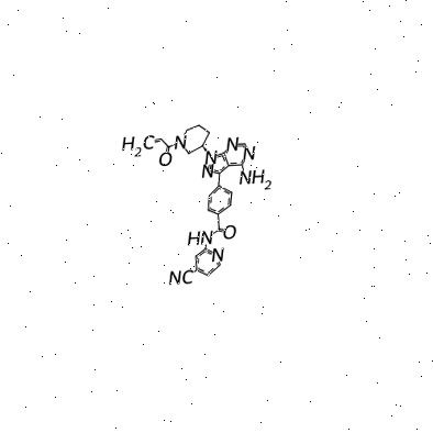 C=CC(=O)N1CCC[C@@H](n2nc(-c3ccc(C(=O)Nc4cc(C#N)ccn4)cc3)c3c(N)ncnc32)C1